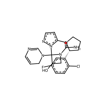 NC(=O)N1CC(O)C1(N1C=NC=CC1)n1nccc1N1CCC[C@@H]1c1cc(F)ccc1Cl